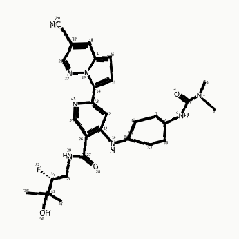 CN(C)C(=O)NC1CCC(Nc2cc(-c3ccc4cc(C#N)cnn34)ncc2C(=O)NC[C@@H](F)C(C)(C)O)CC1